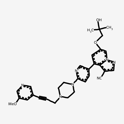 COc1cncc(C#CCN2CCN(c3ccc(-c4cc(OCC(C)(C)O)cn5ncc(C#N)c45)cn3)CC2)c1